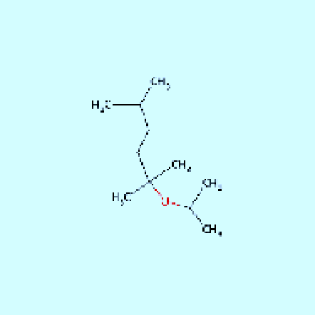 CC(C)CCC(C)(C)OC(C)C